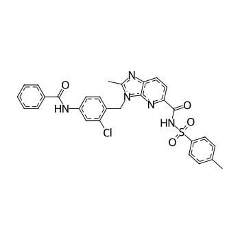 Cc1ccc(S(=O)(=O)NC(=O)c2ccc3nc(C)n(Cc4ccc(NC(=O)c5ccccc5)cc4Cl)c3n2)cc1